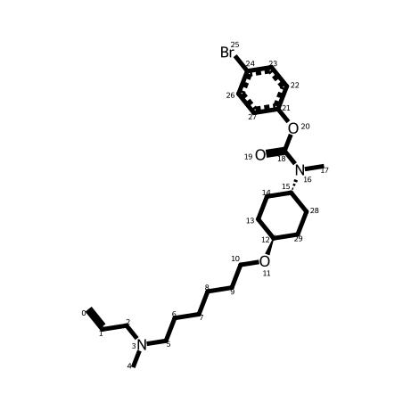 C=CCN(C)CCCCCCO[C@H]1CC[C@H](N(C)C(=O)Oc2ccc(Br)cc2)CC1